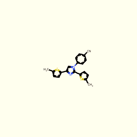 Cc1ccc(-c2cn(-c3ccc(C#N)cc3)c(-c3ccc(C)s3)n2)s1